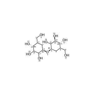 OCC1C[C@@H](O[C@@H]2CC(CO)[C@@H](O)[C@H](O)C2O)C(O)C(O)[C@@H]1O